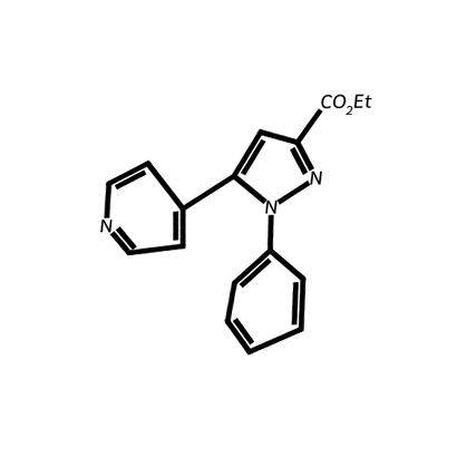 CCOC(=O)c1cc(-c2ccncc2)n(-c2ccccc2)n1